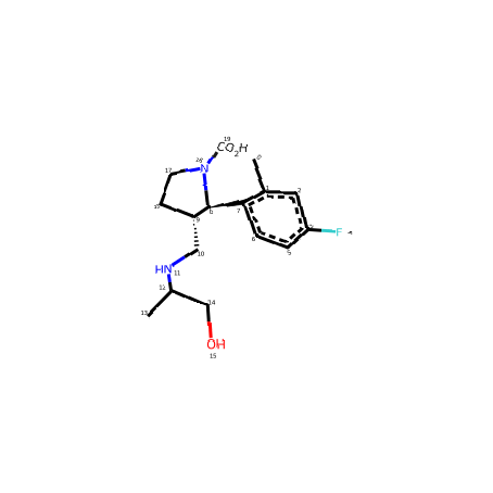 Cc1cc(F)ccc1[C@H]1[C@H](CNC(C)CO)CCN1C(=O)O